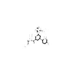 CCCc1ncnn1-c1cc(C(=O)N[C@@H](C)CO)cc(-c2ccc(Cl)cn2)c1